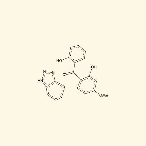 COc1ccc(C(=O)c2ccccc2O)c(O)c1.c1ccc2[nH]nnc2c1